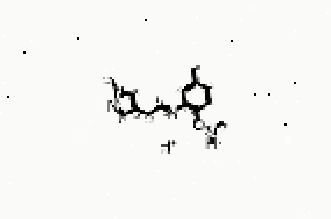 Cc1ccc(O[SiH](C)C)c(N=CCc2cnn(C)c2)c1.[H+]